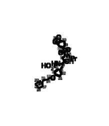 CC(C)CN(C[C@@H](O)[C@H](Cc1ccc(OCCCN2CCSC2)cc1)NC(=O)O)S(=O)(=O)c1ccc2c(c1)OCO2